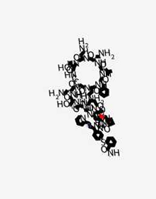 CNC(=O)c1ccccc1Sc1ccc2c(/C=C/c3ccccn3)nn(C(=O)NC3(CNC(=O)[C@@H](CCC(=O)O)NC(=O)CCC(=O)N[C@H](CCN)C(=O)NC(C(=O)N[C@H](CCN)C(=O)N[C@@H]4CCNC(=O)C(C(C)O)NC(=O)C(CCN)NC(=O)[C@H](CCN)NC(=O)[C@H](CC(C)C)NC(=O)[C@H](Cc5ccccc5)NC(=O)C(CCN)NC4=O)[C@H](C)O)CCC3)c2c1